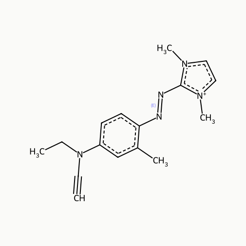 C#CN(CC)c1ccc(/N=N/c2n(C)cc[n+]2C)c(C)c1